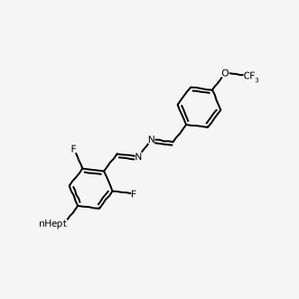 CCCCCCCc1cc(F)c(C=NN=Cc2ccc(OC(F)(F)F)cc2)c(F)c1